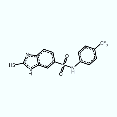 O=S(=O)(Nc1ccc(C(F)(F)F)cc1)c1ccc2nc(S)[nH]c2c1